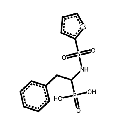 O=P(O)(O)C(Cc1ccccc1)NS(=O)(=O)c1cccs1